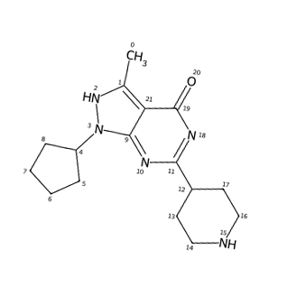 Cc1[nH]n(C2CCCC2)c2nc(C3CCNCC3)nc(=O)c1-2